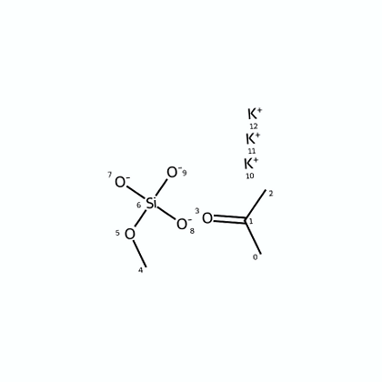 CC(C)=O.CO[Si]([O-])([O-])[O-].[K+].[K+].[K+]